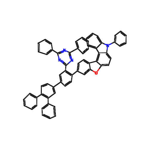 c1ccc(-c2nc(-c3ccccc3)nc(-c3cc(-c4ccc(-c5ccccc5)c(-c5ccccc5)c4)ccc3-c3ccc4c(c3)oc3ccc5c(c6ccccc6n5-c5ccccc5)c34)n2)cc1